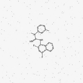 Cc1cccc(N(C)C(=N)Nc2c(F)cc(F)c3ccccc23)c1